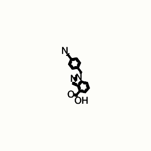 N#Cc1ccc(Cn2ncc3c(C(=O)O)cccc32)cc1